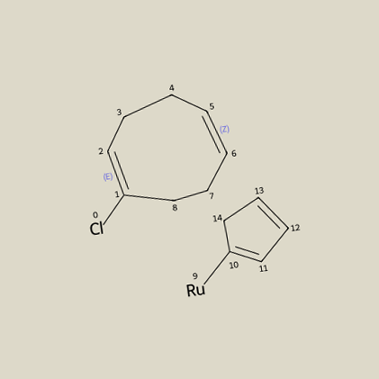 Cl/C1=C/CC/C=C\CC1.[Ru][C]1=CC=CC1